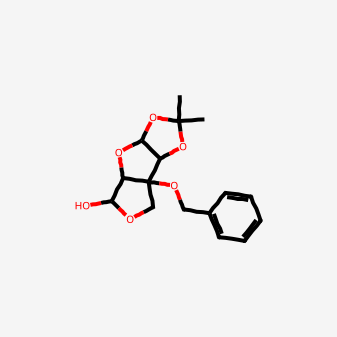 CC1(C)OC2OC3C(O)OCC3(OCc3ccccc3)C2O1